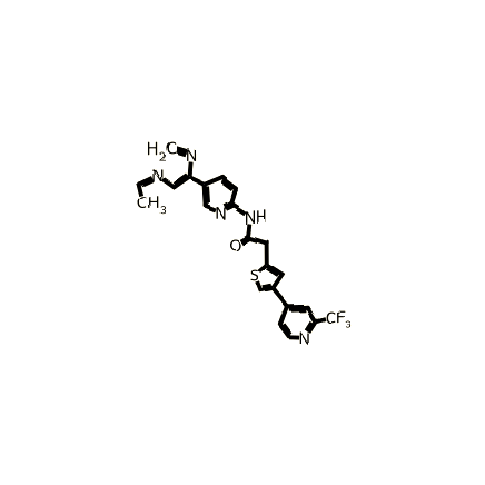 C=N/C(=C\N=C/C)c1ccc(NC(=O)Cc2cc(-c3ccnc(C(F)(F)F)c3)cs2)nc1